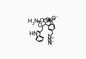 CC(c1cc(CN=[N+]=[N-])ccc1[N+](=O)[O-])C(Cc1c[nH]c2ccccc12)OC(N)=O